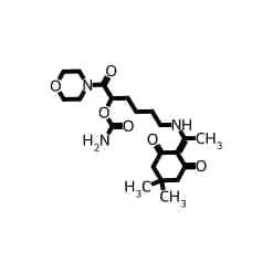 CC(NCCCCC(OC(N)=O)C(=O)N1CCOCC1)=C1C(=O)CC(C)(C)CC1=O